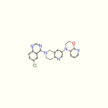 Clc1ccc2ncnc(N3CCc4ncc(N5CCOc6ncccc65)cc4C3)c2c1